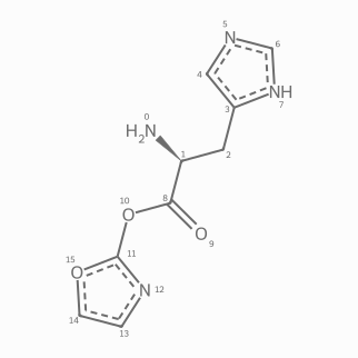 N[C@@H](Cc1cnc[nH]1)C(=O)Oc1ncco1